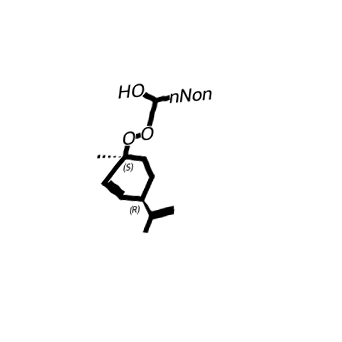 C=C(C)[C@H]1C=C[C@@](C)(OOC(O)CCCCCCCCC)CC1